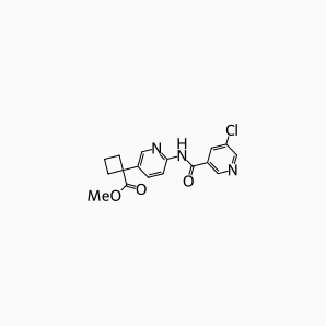 COC(=O)C1(c2ccc(NC(=O)c3cncc(Cl)c3)nc2)CCC1